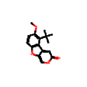 COc1ccc2oc3coc(=O)cc3c2c1C(C)(C)C